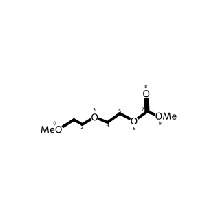 COCCOCCOC(=O)OC